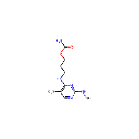 CC(C)(C)Nc1ncc([N+](=O)[O-])c(NCCCOC(N)=O)n1